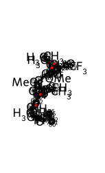 COc1cc2c(cc1OCCCOc1cc3c(cc1OC)C(=O)N1C=C(c4ccc(OC(F)(F)F)cc4)C[C@H]1C(=O)N3COCC[Si](C)(C)C)N(COCC[Si](C)(C)C)C(=O)[C@@H]1CC(c3ccc(NC(=O)[C@H](C)NC(=O)[C@@H](NC(=O)OCC4c5ccccc5-c5ccccc54)C(C)C)cc3)=CN1C2=O